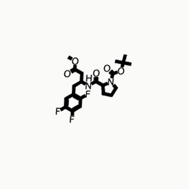 COC(=O)CC(Cc1cc(F)c(F)cc1F)NC(=O)C1CCCN1C(=O)OC(C)(C)C